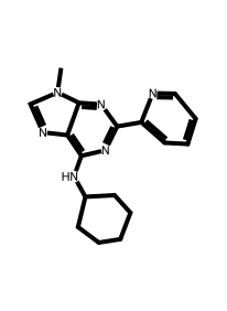 Cn1cnc2c(NC3CCCCC3)nc(-c3ccccn3)nc21